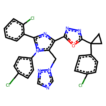 Clc1ccc(-n2c(-c3ccccc3Cl)nc(-c3nnc(C4(c5ccc(Cl)cc5)CC4)o3)c2Cn2cncn2)cc1